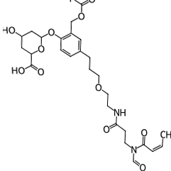 C/C=C\C(=O)N(C=O)CCC(=O)NCCOCCCc1ccc(OC2CC(O)CC(C(=O)O)O2)c(COC(=O)F)c1